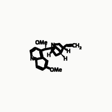 C=C[C@H]1CN2CC[C@H]1C[C@@H]2[C@@H](OC)c1ccnc2ccc(OC)cc12